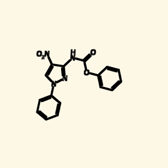 O=C(Nc1nn(-c2ccccc2)cc1[N+](=O)[O-])Oc1ccccc1